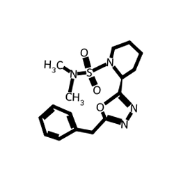 CN(C)S(=O)(=O)N1CCCC[C@H]1c1nnc(Cc2ccccc2)o1